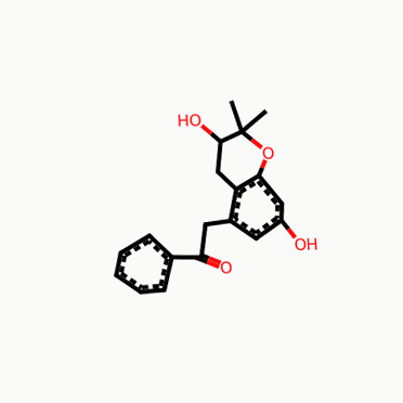 CC1(C)Oc2cc(O)cc(CC(=O)c3ccccc3)c2CC1O